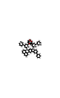 c1ccc(-c2ccc3c(c2)c2cc4c(cc2n3-c2cc(-c3cccnc3)cc(-c3cccnc3)n2)N(c2cc(-c3cccnc3)cc(-c3ccccc3)n2)c2cccc3cccc-4c23)cc1